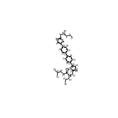 CCCN(C)Cc1ncc(-c2ccc(-c3ccc(-c4cnc(CN(CCC)C(=O)CCC(C)C)s4)cc3)cc2)s1